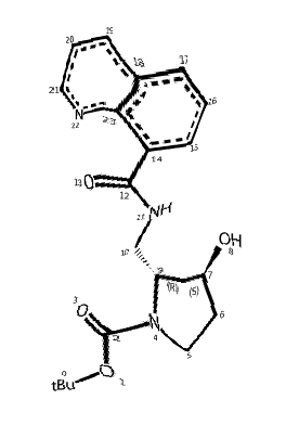 CC(C)(C)OC(=O)N1CC[C@H](O)[C@H]1CNC(=O)c1cccc2cccnc12